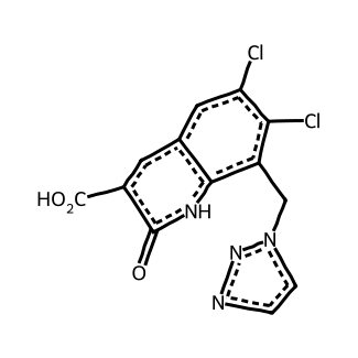 O=C(O)c1cc2cc(Cl)c(Cl)c(Cn3ccnn3)c2[nH]c1=O